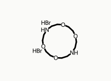 Br.Br.C1COCCOCCNCCOCCOCCN1